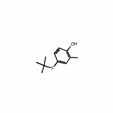 Cc1cc(SC(C)(C)C)ccc1O